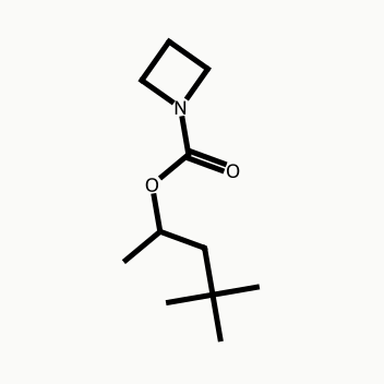 CC(CC(C)(C)C)OC(=O)N1CCC1